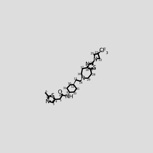 Cc1ncc(CC(=O)N[C@H]2CC[C@H](CCN3CCc4nc(N5CC(C(F)(F)F)C5)sc4CC3)CC2)s1